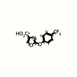 O=C(O)c1coc(Oc2ccc(C(F)(F)F)cc2)n1